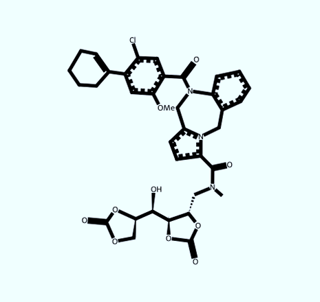 COc1cc(C2=CCCCC2)c(Cl)cc1C(=O)N1Cc2ccc(C(=O)N(C)C[C@@H]3OC(=O)O[C@H]3[C@H](O)[C@H]3COC(=O)O3)n2Cc2ccccc21